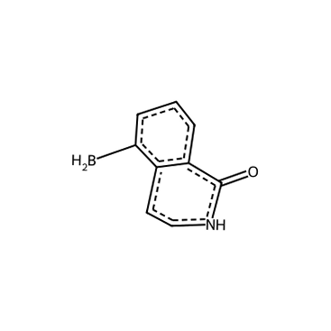 Bc1cccc2c(=O)[nH]ccc12